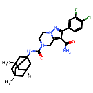 C[C@]12C[C@H]3CC(NC(=O)N4CCn5nc(-c6ccc(Cl)c(Cl)c6)c(C(N)=O)c5C4)(C1)C[C@@](C)(C3)C2